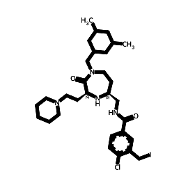 CC1CC(C)CC(CN2CC[C@@H](CNC(=O)c3ccc(Cl)c(CI)c3)N[C@@H](CCN3CCCCC3)C2=O)C1